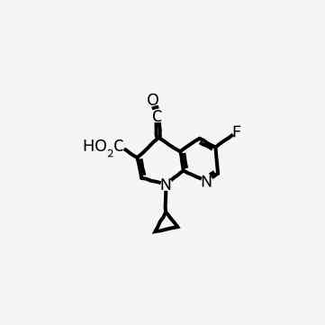 O=C=C1C(C(=O)O)=CN(C2CC2)c2ncc(F)cc21